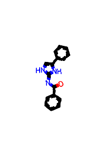 O=C(/N=c1/[nH]cc(-c2ccccc2)[nH]1)c1ccccc1